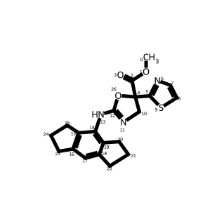 COC(=O)C1(c2nccs2)CN=C(Nc2c3c(cc4c2CCC4)CCC3)O1